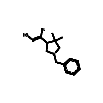 CCC(=NO)C1CN(Cc2ccccc2)CC1(C)C